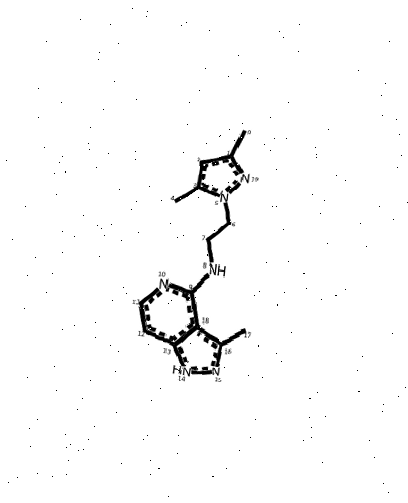 Cc1cc(C)n(CCNc2nccc3[nH]nc(C)c23)n1